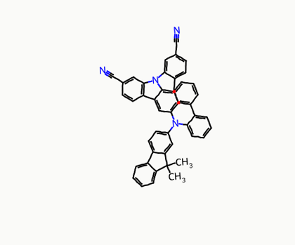 CC1(C)c2ccccc2-c2ccc(N(c3cc4c5ccc(C#N)cc5n5c6cc(C#N)ccc6c(c3)c45)c3ccccc3-c3ccccc3)cc21